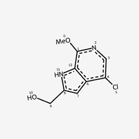 COc1ncc(Cl)c2cc(CO)[nH]c12